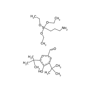 CC(C)(C)c1cc(C=O)cc(C(C)(C)C)c1O.CCO[Si](CCCN)(OCC)OCC